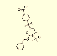 CC1(C)OC[C@H](COS(=O)(=O)c2ccc([N+](=O)[O-])cc2)N1C(=O)OCc1ccccc1